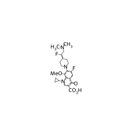 COc1c(N2CCC(=C(F)CN(C)C)CC2)c(F)cc2c(=O)c(C(=O)O)cn(C3CC3)c12